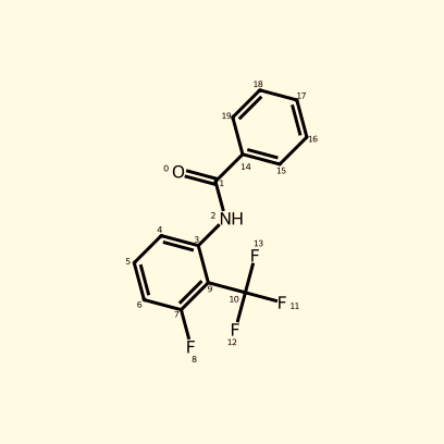 O=C(Nc1cccc(F)c1C(F)(F)F)c1ccccc1